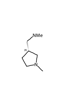 CNC[C@H]1CCN(C)C1